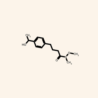 CON(C)C(=O)CCCc1ccc(C(C)O)cc1